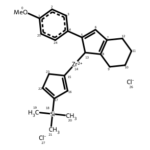 COc1ccc(C2=CC3=C(CCCC3)[CH]2[Zr+2][C]2=CC([Si](C)(C)C)=CC2)cc1.[Cl-].[Cl-]